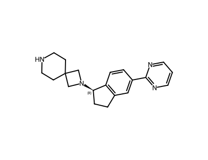 c1cnc(-c2ccc3c(c2)CC[C@H]3N2CC3(CCNCC3)C2)nc1